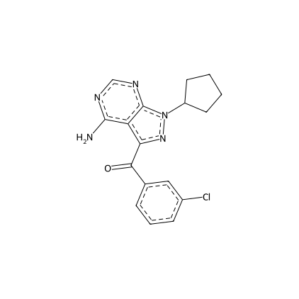 Nc1ncnc2c1c(C(=O)c1cccc(Cl)c1)nn2C1CCCC1